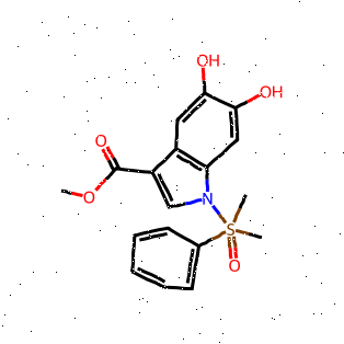 COC(=O)c1cn(S(C)(C)(=O)c2ccccc2)c2cc(O)c(O)cc12